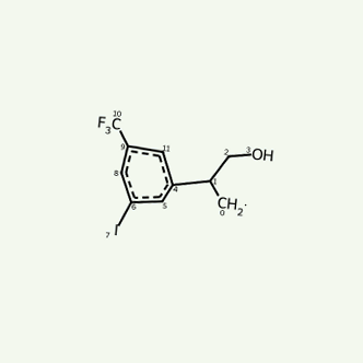 [CH2]C(CO)c1cc(I)cc(C(F)(F)F)c1